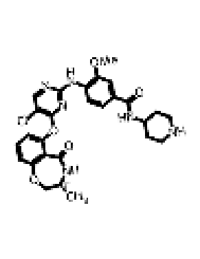 COc1cc(C(=O)NC2CCNCC2)ccc1Nc1ncc(Cl)c(Oc2cccc3c2C(=O)N[C@@H](C)CO3)n1